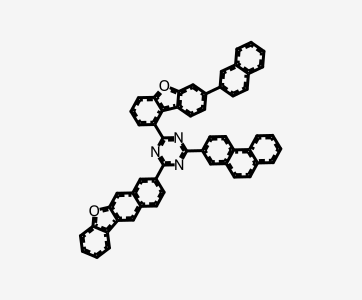 c1ccc2cc(-c3ccc4c(c3)oc3cccc(-c5nc(-c6ccc7cc8c(cc7c6)oc6ccccc68)nc(-c6ccc7c(ccc8ccccc87)c6)n5)c34)ccc2c1